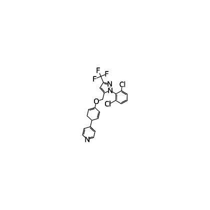 FC(F)(F)c1cc(COC2=CCC(c3ccncc3)C=C2)n(-c2c(Cl)cccc2Cl)n1